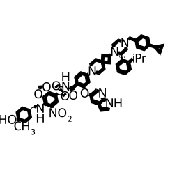 CC(C)c1ccccc1[C@@H]1CN(Cc2ccc(C3CC3)cc2)CCN1C1CC2(CCN(c3ccc(C(=O)NS(=O)(=O)c4cc([N+](=O)[O-])c(NC[C@H]5CC[C@](C)(O)CC5)c5c4OCO5)c(Oc4cnc5[nH]ccc5c4)c3)CC2)C1